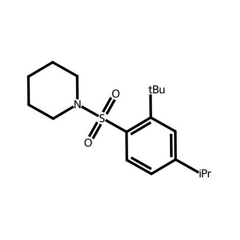 CC(C)c1ccc(S(=O)(=O)N2CCCCC2)c(C(C)(C)C)c1